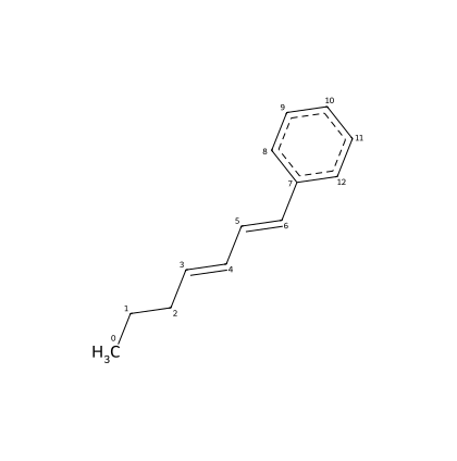 CCCC=CC=Cc1ccccc1